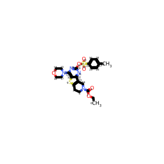 CCOC(=O)N1CCc2sc3c(N4CCOCC4)nc(OS(=O)(=O)c4ccc(C)cc4)nc3c2C1